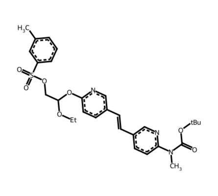 CCOC(COS(=O)(=O)c1cccc(C)c1)Oc1ccc(C=Cc2ccc(N(C)C(=O)OC(C)(C)C)nc2)cn1